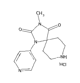 CN1C(=O)N(c2ccncc2)C2(CCNCC2)C1=O.Cl